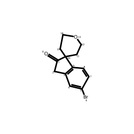 O=C1Cc2cc(Br)ccc2C12CCOCC2